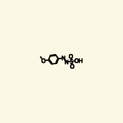 COc1ccc(N=NS(=O)(=O)O)cc1